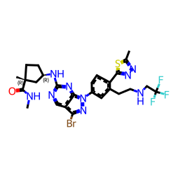 CNC(=O)[C@]1(C)CC[C@@H](Nc2ncc3c(Br)nn(-c4ccc(-c5nnc(C)s5)c(CCNCC(F)(F)F)c4)c3n2)C1